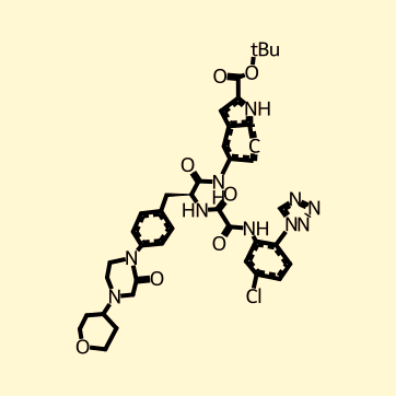 CC(C)(C)OC(=O)c1cc2cc(NC(=O)[C@H](Cc3ccc(N4CCN(C5CCOCC5)CC4=O)cc3)NC(=O)C(=O)Nc3cc(Cl)ccc3-n3cnnn3)ccc2[nH]1